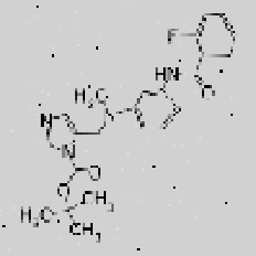 CN(Cc1cncn1C(=O)OC(C)(C)C)c1cccc(NC(=O)c2ccccc2F)c1